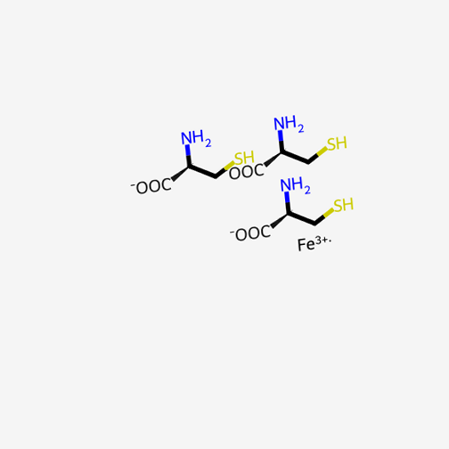 N[C@@H](CS)C(=O)[O-].N[C@@H](CS)C(=O)[O-].N[C@@H](CS)C(=O)[O-].[Fe+3]